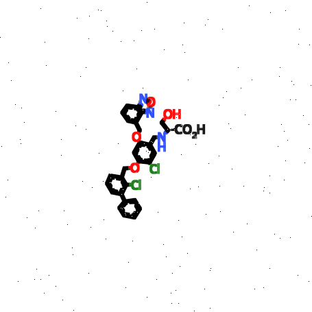 O=C(O)[C@@H](CO)NCc1cc(Cl)c(OCc2cccc(-c3ccccc3)c2Cl)cc1OCc1cccc2nonc12